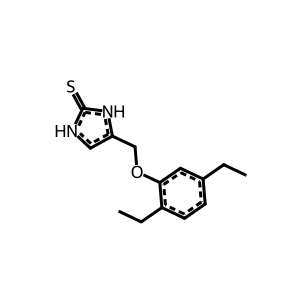 CCc1ccc(CC)c(OCc2c[nH]c(=S)[nH]2)c1